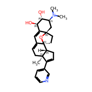 CN(C)[C@H]1C[C@@]23CC[C@@]4(O2)C(=CC[C@]2(C)C(c5cccnc5)=CC[C@H]24)C=C3[C@@H](O)[C@@H]1O